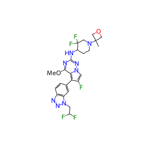 COc1nc(NC2CCN(C3(C)COC3)CC2(F)F)nn2cc(F)c(-c3ccc4nnn(CC(F)F)c4c3)c12